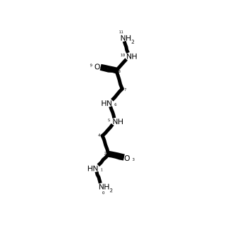 NNC(=O)CNNCC(=O)NN